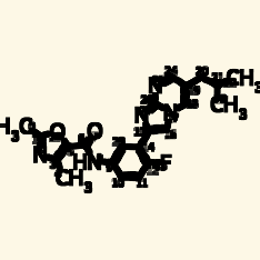 Cc1nc(C)c(C(=O)Nc2ccc(F)c(-c3cn4cc(CC(C)C)cnc4n3)c2)o1